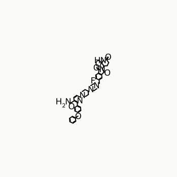 NC(=O)c1ccc(N2CCC(N3CCN(Cc4cc5c(cc4F)C(=O)N(C4CCC(=O)NC4=O)C5=O)CC3)CC2)nc1-c1ccc(Oc2ccccc2)cc1